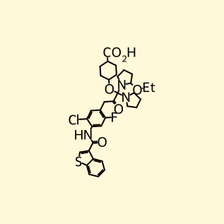 CCOC1CCCN1C(OC1CCC(C(=O)O)CC1)(C(=O)Cc1cc(Cl)c(NC(=O)c2csc3ccccc23)cc1F)N1CCCC1